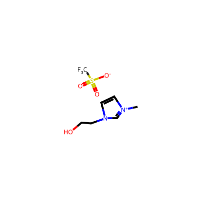 C[n+]1ccn(CCO)c1.O=S(=O)([O-])C(F)(F)F